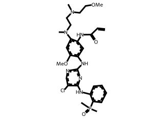 C=CC(=O)Nc1cc(Nc2ncc(Cl)c(Nc3ccccc3P(C)(C)=O)n2)c(OC)cc1N(C)CCN(C)CCOC